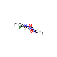 Cc1cn(-c2ccc3n(c2=O)CCN(Cc2csc(-c4ccc(C(F)(F)F)c(F)c4)n2)C3=O)cn1